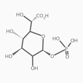 O=C(O)[C@@H](O)C1O[C@@H](OP(=O)(O)O)C(O)[C@@H](O)[C@@H]1O